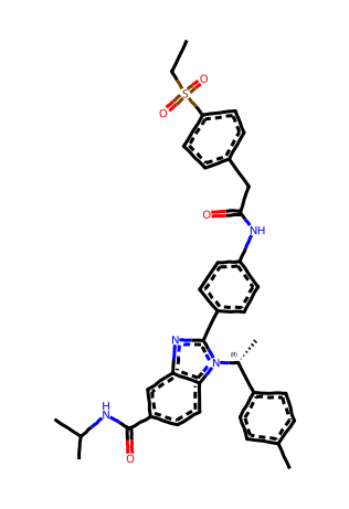 CCS(=O)(=O)c1ccc(CC(=O)Nc2ccc(-c3nc4cc(C(=O)NC(C)C)ccc4n3[C@H](C)c3ccc(C)cc3)cc2)cc1